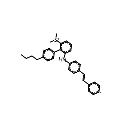 CCCCc1ccc(-c2c(Nc3ccc(C=Cc4cc[c]cc4)cc3)cccc2[S+](C)C)cc1